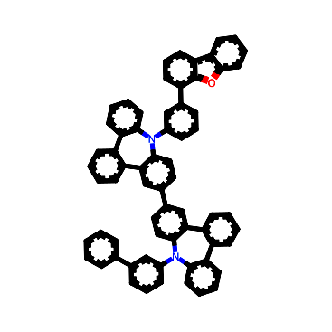 c1ccc(-c2cccc(N3c4ccccc4-c4ccccc4-c4cc(-c5ccc6c(c5)-c5ccccc5-c5ccccc5N6c5cccc(-c6cccc7c6oc6ccccc67)c5)ccc43)c2)cc1